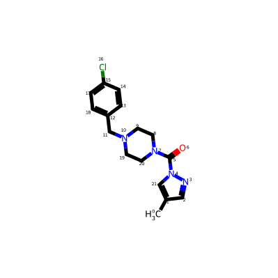 Cc1cnn(C(=O)N2CCN(Cc3ccc(Cl)cc3)CC2)c1